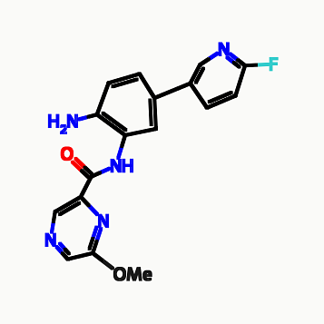 COc1cncc(C(=O)Nc2cc(-c3ccc(F)nc3)ccc2N)n1